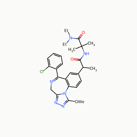 CCN(CC)C(=O)C(C)(C)NC(=O)C(C)c1ccc2c(c1)C(c1ccccc1Cl)=NCc1nnc(OC)n1-2